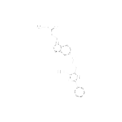 COC(=O)CCn1ccc2cc(OCCc3nc(-c4ccccc4)oc3C)ccc21